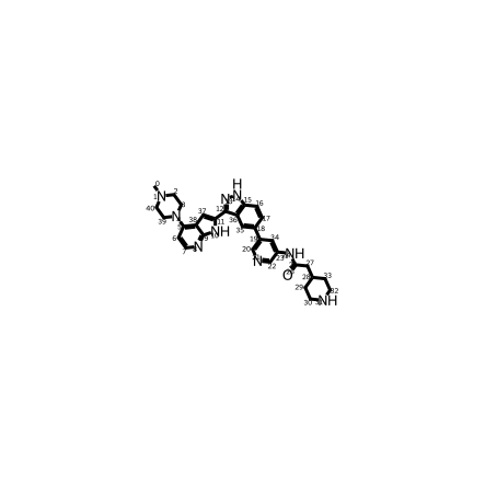 CN1CCN(c2ccnc3[nH]c(-c4n[nH]c5ccc(-c6cncc(NC(=O)CC7CCNCC7)c6)cc45)cc23)CC1